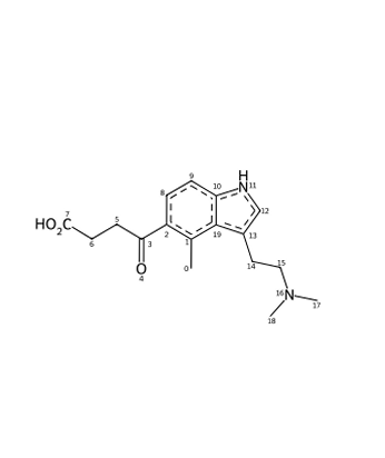 Cc1c(C(=O)CCC(=O)O)ccc2[nH]cc(CCN(C)C)c12